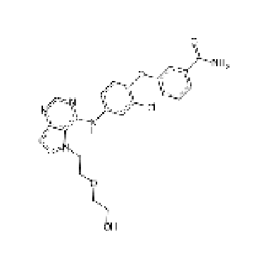 NC(=O)c1cccc(Oc2ccc(Nc3ncnc4ccn(CCOCCO)c34)cc2Cl)c1